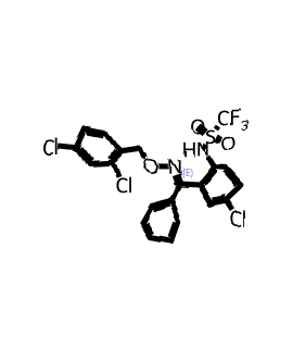 O=S(=O)(Nc1ccc(Cl)cc1/C(=N/OCc1ccc(Cl)cc1Cl)c1ccccc1)C(F)(F)F